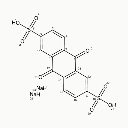 O=C1c2ccc(S(=O)(=O)O)cc2C(=O)c2ccc(S(=O)(=O)O)cc21.[NaH].[NaH]